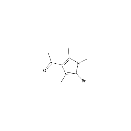 CC(=O)c1c(C)c(Br)n(C)c1C